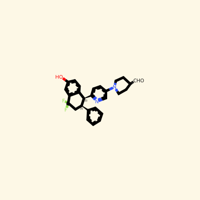 O=CC1CCN(c2ccc([C@@H]3c4ccc(O)cc4C(F)(F)C[C@@H]3c3ccccc3)nc2)CC1